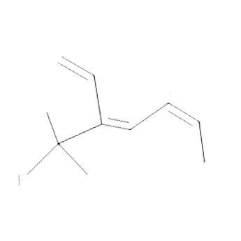 C=C/C(=C\C=C/C)C(C)(C)F